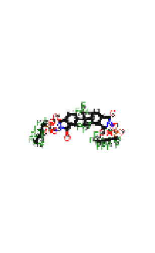 O=C1c2ccc(C(c3ccc4c(c3)C(=O)N(OS(=O)(=O)C(F)(F)C(F)(F)C(F)(F)C(F)(F)F)C4=O)(C(F)(F)F)C(F)(F)F)cc2C(=O)N1OS(=O)(=O)C(F)(F)C(F)(F)C(F)(F)C(F)(F)F